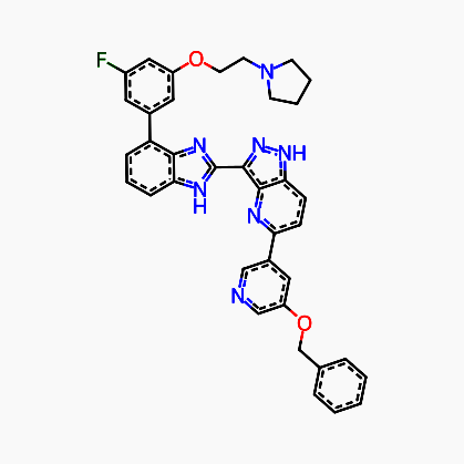 Fc1cc(OCCN2CCCC2)cc(-c2cccc3[nH]c(-c4n[nH]c5ccc(-c6cncc(OCc7ccccc7)c6)nc45)nc23)c1